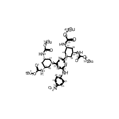 CC(C)(C)OC(=O)N[C@@H]1C[C@H](NC(=O)OC(C)(C)C)CN(c2nc(Nc3ccc([N+](=O)[O-])cc3)nc(N3C[C@H](NC(=O)OC(C)(C)C)C[C@H](NC(=O)OC(C)(C)C)C3)n2)C1